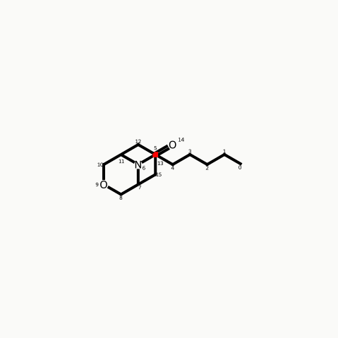 CCCCCCN1C2COCC1CC(=O)C2